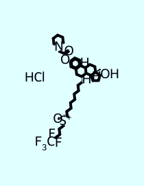 C[C@]12CC[C@@H]3c4ccc(OC(=O)CN5CCCCC5)cc4C[C@@H](CCCCCCCCC[S+]([O-])CCCC(F)(F)C(F)(F)F)[C@H]3[C@@H]1CC[C@@H]2O.Cl